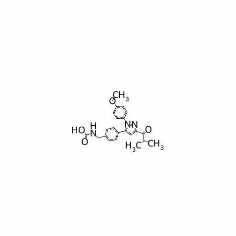 COc1ccc(-n2nc(C(=O)C(C)C)cc2-c2ccc(CNC(=O)O)cc2)cc1